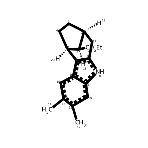 CCOC(=O)[C@@H]1[C@H]2CC[C@@H]1c1c([nH]c3cc(C)c(C)cc13)C2